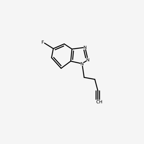 C#CCCn1nnc2cc(F)ccc21